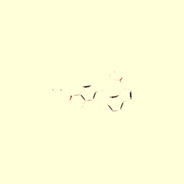 COC(=O)c1ccc(Oc2cccc3ccn(C(=O)OC(C)(C)C)c23)cc1Cl